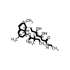 CCNC(=O)C[C@H](O)C[C@H](O)CC[C@@H]1[C@@H]2C(=C[C@H](C)C[C@@H]2OC(=O)C(C)(C)CC)C=C[C@@H]1C